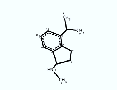 CNC1CCc2c(C(C)C)cncc21